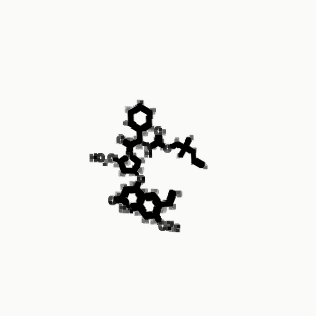 C=CCC(C)(C)COC(=O)N[C@H](C(=O)N1C[C@H](Oc2cc(=O)[nH]c3cc(OC)c(C=C)cc23)C[C@H]1C(=O)O)C1CCCCC1